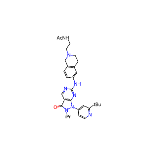 CC(=O)NCCN1CCc2cc(Nc3ncc4c(=O)n(C(C)C)n(-c5ccnc(C(C)(C)C)c5)c4n3)ccc2C1